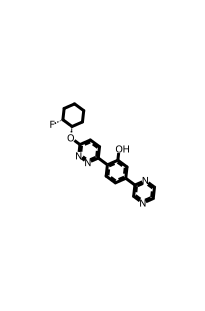 Oc1cc(-c2cnccn2)ccc1-c1ccc(O[C@H]2CCCC[C@H]2F)nn1